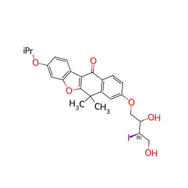 CC(C)Oc1ccc2c3c(oc2c1)C(C)(C)c1cc(OCC(O)[C@H](I)CO)ccc1C3=O